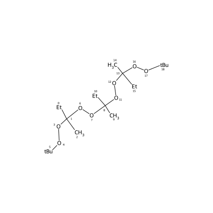 CCC(C)(OOC(C)(C)C)OOC(C)(CC)OOC(C)(CC)OOC(C)(C)C